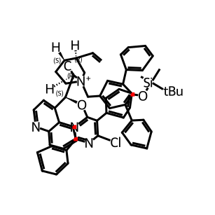 C=C[C@H]1C[N+]2(Cc3cc(-c4ccccc4)c(O[Si](C)(C)C(C)(C)C)c(-c4ccccc4)c3)CC[C@H]1C[C@@H]2[C@@H](Oc1nc(-c2ccccc2)nc(Cl)c1-c1ccccc1)c1ccnc2ccccc12